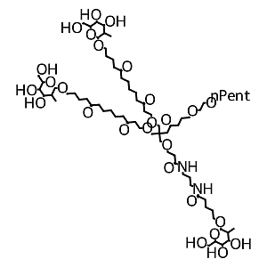 CCCCCOCCOCCCC(=O)CC(COCCC(=O)CCCCCC(=O)CCCCOC1OC(CO)C(O)C(O)C1C)(COCCC(=O)CCCCCC(=O)CCCCOC1OC(CO)C(O)C(O)C1C)COCCC(=O)NCCCNC(=O)CCCCOC1OC(CO)C(O)C(O)C1C